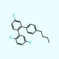 CCCCc1ccc(-c2cc(F)ccc2-c2cc(F)ccc2F)cc1